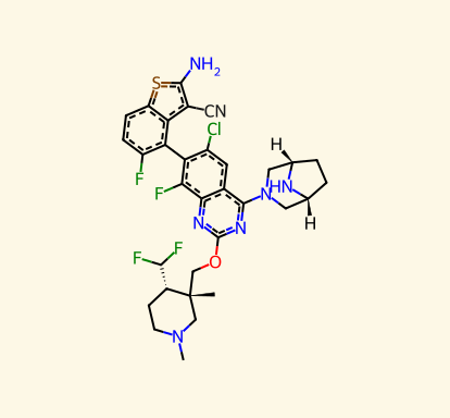 CN1CC[C@H](C(F)F)[C@](C)(COc2nc(N3C[C@H]4CC[C@@H](C3)N4)c3cc(Cl)c(-c4c(F)ccc5sc(N)c(C#N)c45)c(F)c3n2)C1